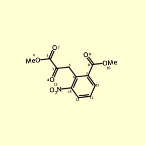 COC(=O)C(=O)Cc1c(C(=O)OC)cccc1[N+](=O)[O-]